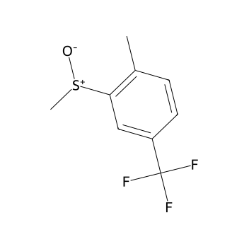 Cc1ccc(C(F)(F)F)cc1[S+](C)[O-]